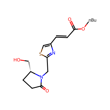 CCCCOC(=O)/C=C/c1csc(CN2C(=O)CC[C@@H]2CO)n1